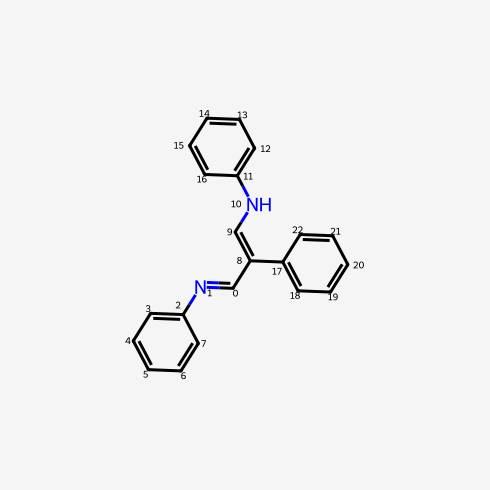 C(=Nc1ccccc1)C(=CNc1ccccc1)c1ccccc1